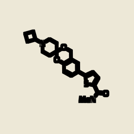 CNC(=O)c1ccc(-c2ccc3c(c2)COC2(CCN(C4CCC4)CC2)O3)s1